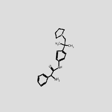 CC(C)(CN1CCCC1)c1ccc(NC(=O)C(N)c2ccccc2)cc1